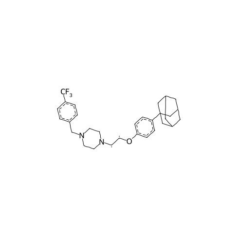 FC(F)(F)c1ccc(CN2CCN([CH][CH]Oc3ccc(C45CC6CC(CC(C6)C4)C5)cc3)CC2)cc1